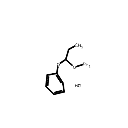 CCC(OP)Oc1ccccc1.Cl